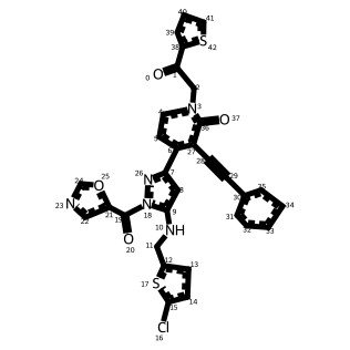 O=C(Cn1ccc(-c2cc(NCc3ccc(Cl)s3)n(C(=O)c3cnco3)n2)c(C#Cc2ccccc2)c1=O)c1cccs1